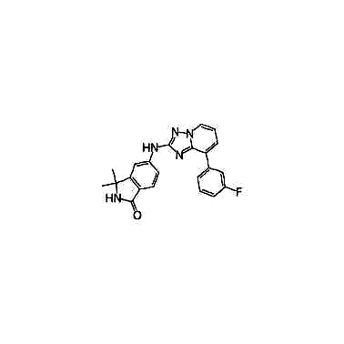 CC1(C)NC(=O)c2ccc(Nc3nc4c(-c5cccc(F)c5)cccn4n3)cc21